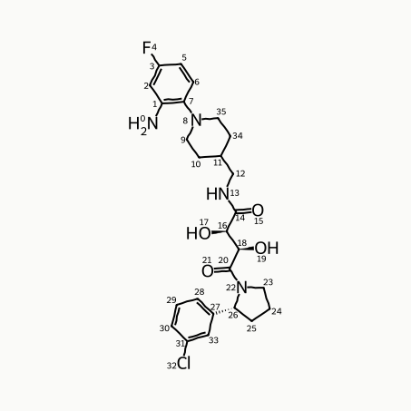 Nc1cc(F)ccc1N1CCC(CNC(=O)[C@H](O)[C@@H](O)C(=O)N2CCC[C@@H]2c2cccc(Cl)c2)CC1